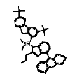 CCCC1=Cc2c(-c3c4ccccc4cc4ccccc34)cccc2[CH]1[Zr]([c]1cc(C(C)(C)C)cc2c1Cc1ccc(C(C)(C)C)cc1-2)[SiH](C)C